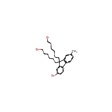 Cc1ccc2c(c1)C(CCCCCCBr)(CCCCCCBr)c1cc(Br)ccc1-2